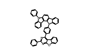 c1ccc(-c2nc(-c3ccc(-n4c5ccccc5c5ccc6c(c7ccccc7n6-c6ccccc6)c54)cc3)c3c(n2)oc2ccccc23)cc1